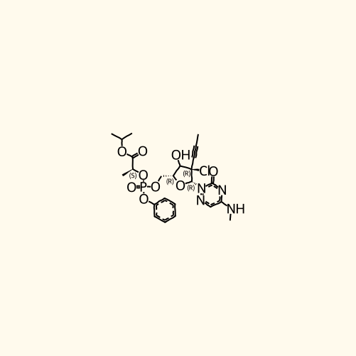 CC#C[C@@]1(Cl)C(O)[C@@H](COP(=O)(Oc2ccccc2)O[C@@H](C)C(=O)OC(C)C)O[C@H]1n1ncc(NC)nc1=O